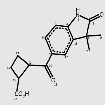 CC1(C)C(=O)Nc2ccc(C(=O)C3CCC3C(=O)O)cc21